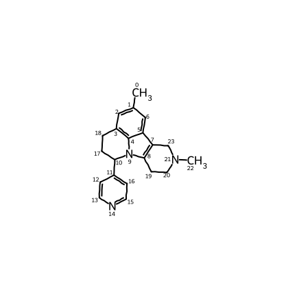 Cc1cc2c3c(c1)c1c(n3C(c3ccncc3)CC2)CCN(C)C1